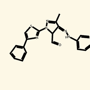 CC1=NN(c2nc(-c3ccccc3)cs2)C(C=O)/C1=N\Nc1ccccc1